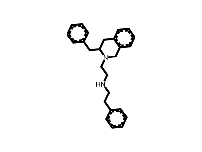 c1ccc(CCNCCN2Cc3ccccc3CC2Cc2ccccc2)cc1